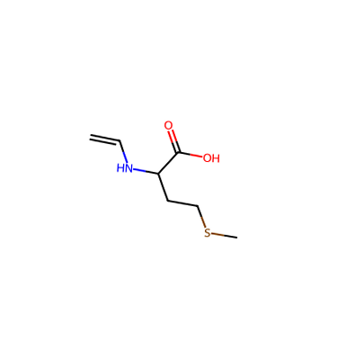 C=CNC(CCSC)C(=O)O